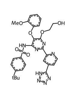 COc1ccccc1Oc1c(NS(=O)(=O)c2ccc(C(C)(C)C)cc2)nc(-c2cc(-c3nnn[nH]3)ccn2)nc1OCCO